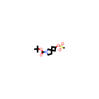 CC(C)(C)OC(=O)N1CCC2(CC(OS(C)(=O)=O)C2)C1